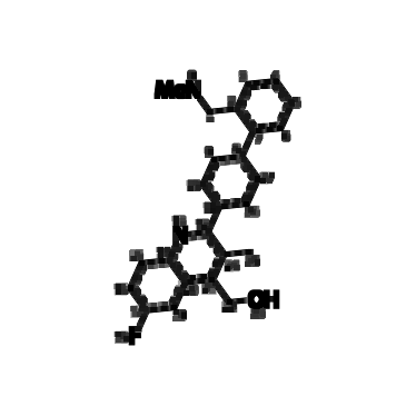 CNCc1ccccc1-c1ccc(-c2nc3ccc(F)cc3c(CO)c2C)cc1